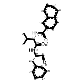 CC(C)[C@H](NC(=O)c1ccc2ccccc2c1)C(=O)N[C@H]([C]=O)Cc1ccccc1